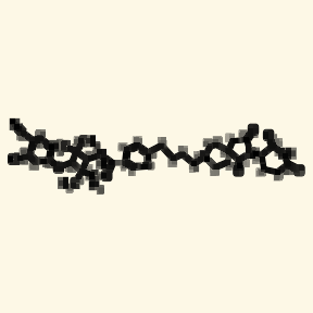 CC1(C)C(NC(=O)c2ccc(CCCCN3CCC4(CC3)CC(=O)N([C@@H]3CCC(=O)NC3=O)C4=O)cc2)C(C)(C)C1Oc1ccc(C#N)c(Cl)c1